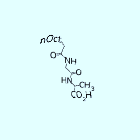 CCCCCCCCCC(=O)NCC(=O)NC(C)C(=O)O